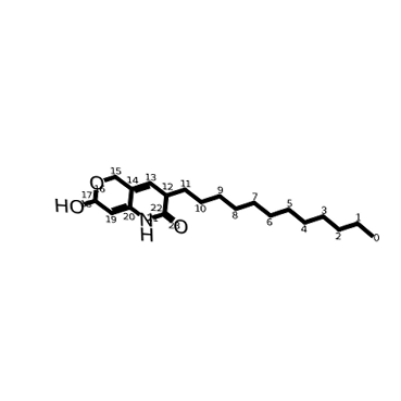 CCCCCCCCCCCCC1C=C2COC(O)C=C2NC1=O